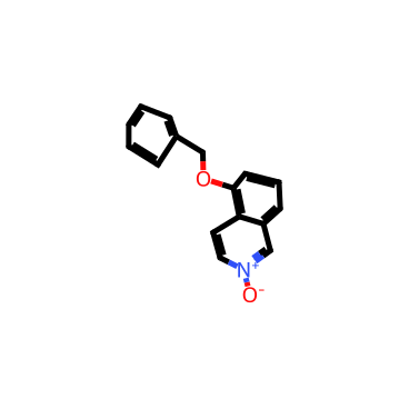 [O-][n+]1ccc2c(OCc3ccccc3)cccc2c1